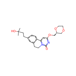 CC(C)(O)CCc1ccc2c(c1)CCn1c-2cc(OC[C@@H]2COCCO2)nc1=O